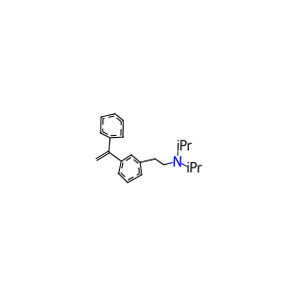 C=C(c1ccccc1)c1cccc(CCN(C(C)C)C(C)C)c1